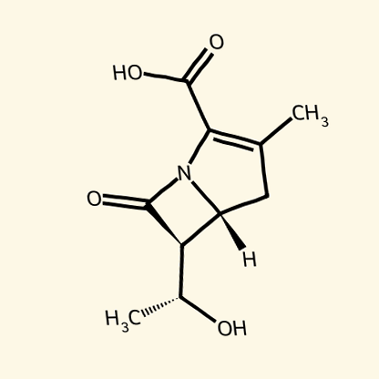 CC1=C(C(=O)O)N2C(=O)[C@H]([C@@H](C)O)[C@H]2C1